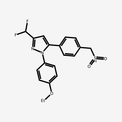 CCOc1ccc(-n2nc(C(F)F)cc2-c2ccc(C[SH](=O)=O)cc2)cc1